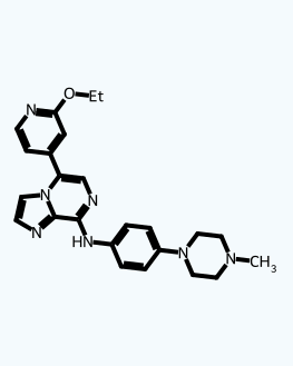 CCOc1cc(-c2cnc(Nc3ccc(N4CCN(C)CC4)cc3)c3nccn23)ccn1